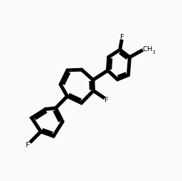 Cc1ccc(C2=C(F)C=C(c3ccc(F)cc3)C=CC2)cc1F